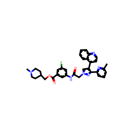 Cc1cccc(-c2nn(CC(=O)Nc3cc(F)cc(C(=O)OCC4CCN(C)CC4)c3)cc2-c2ccnc3ccccc23)n1